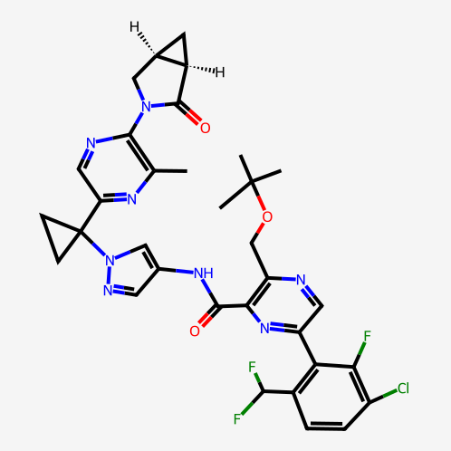 Cc1nc(C2(n3cc(NC(=O)c4nc(-c5c(C(F)F)ccc(Cl)c5F)cnc4COC(C)(C)C)cn3)CC2)cnc1N1C[C@H]2C[C@H]2C1=O